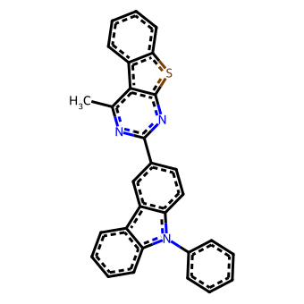 Cc1nc(-c2ccc3c(c2)c2ccccc2n3-c2ccccc2)nc2sc3ccccc3c12